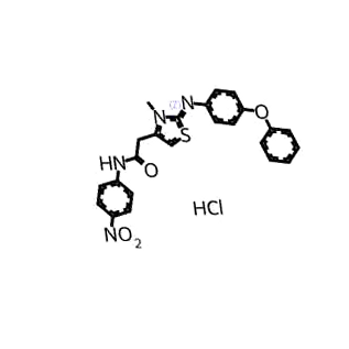 Cl.Cn1c(CC(=O)Nc2ccc([N+](=O)[O-])cc2)cs/c1=N\c1ccc(Oc2ccccc2)cc1